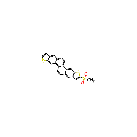 CS(=O)(=O)c1cc2cc3ccc4c5cc6sccc6cc5ccc4c3cc2s1